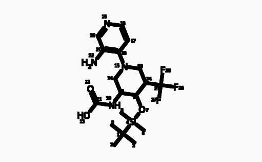 CC(C)(C)[Si](C)(C)OC1C(NC(=O)O)CN(c2ccncc2N)CC1C(F)(F)F